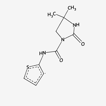 CC1(C)CN(C(=O)Nc2[c]ccs2)C(=O)N1